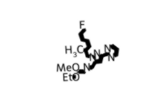 CCO/C(=C/N=Cc1cc(-c2ncccn2)nn1CC(C)/C=C\C=C/CF)OC